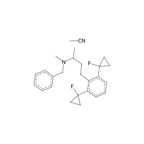 CC#N.CC(CCc1c(C2(F)CC2)cccc1C1(F)CC1)N(C)Cc1ccccc1